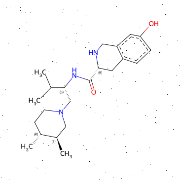 CC(C)[C@@H](CN1CC[C@@H](C)[C@H](C)C1)NC(=O)[C@H]1Cc2ccc(O)cc2CN1